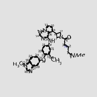 CNC/C=C/C(=O)N1CC(c2ccn3ncnc(Nc4ccc(Oc5ccc6c(c5)ncn6C)c(C)c4)c23)C1